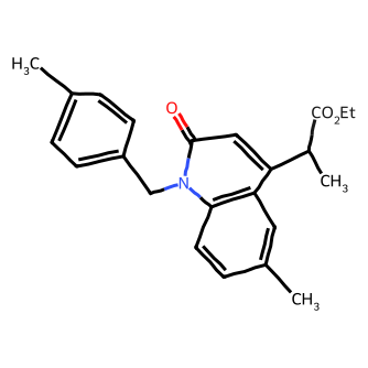 CCOC(=O)C(C)c1cc(=O)n(Cc2ccc(C)cc2)c2ccc(C)cc12